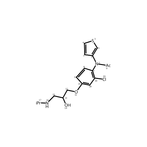 CC(=O)N(c1ccsc1)c1ccc(OCC(O)CNC(C)C)cc1Cl